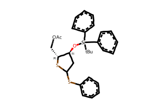 CC(=O)OC[C@H]1SC(Sc2ccccc2)C[C@@H]1O[Si](c1ccccc1)(c1ccccc1)C(C)(C)C